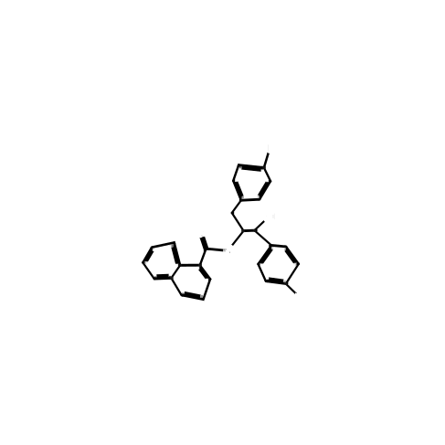 O=C(NC(Cc1ccc(F)cc1)C(O)c1ccc(F)cc1)c1cccc2ccccc12